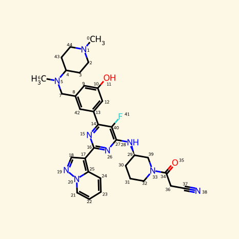 CN1CCC(N(C)Cc2cc(O)cc(-c3nc(-c4cnn5ccccc45)nc(N[C@@H]4CCCN(C(=O)CC#N)C4)c3F)c2)CC1